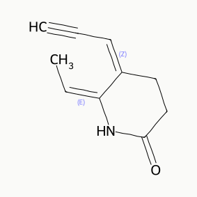 C#C/C=C1/CCC(=O)N/C1=C/C